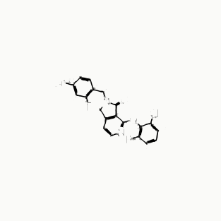 O=C1c2c(ccnc2Oc2c(F)cccc2Cl)CN1Cc1ccc(Br)cc1F